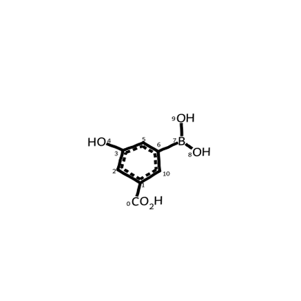 O=C(O)c1cc(O)cc(B(O)O)c1